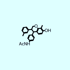 CC(=O)Nc1ccc(C2c3ccc(O)c(C)c3OCC2c2cccc(C)c2)cc1